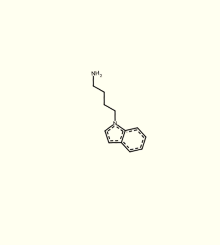 NCCCCn1ccc2ccccc21